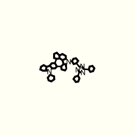 c1ccc(-c2nc(-c3ccccc3)nc(-c3cccc(-n4c5cccc6c5c5c7c(cccc7ccc54)-c4cc5c7ccccc7n(-c7ccccc7)c5cc4-6)c3)n2)cc1